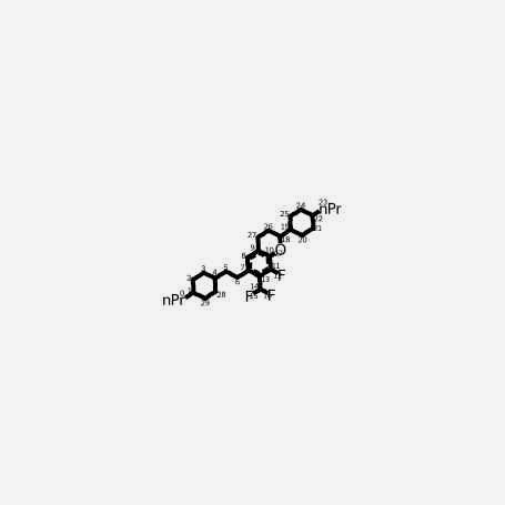 CCCC1CCC(CCc2cc3c(c(F)c2C(F)F)OC(C2CCC(CCC)CC2)CC3)CC1